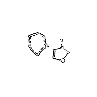 C1=COON1.c1ccncc1